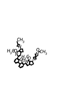 CCC1CN([C@H]2CCc3cc(-c4cccc(-c5cccc(-c6cc7c(c(OC)n6)[C@@H](N6CC8(CN(C(C)=O)C8)C6)CC7)c5Cl)c4Cl)nc(OC)c32)C1